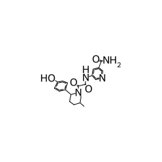 CC1CCC(c2ccc(O)cc2)N(C(=O)C(=O)Nc2cncc(C(N)=O)c2)C1